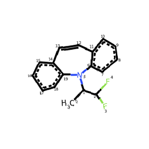 CC(C(F)F)N1c2ccccc2C=Cc2ccccc21